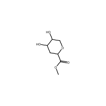 COC(=O)C1CC(O)C(O)CO1